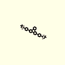 CC1(C)CSC(c2ccc(-c3ccc4c5ccc(-c6ccc(C7=NC(C)(C)CS7)cc6)cc5c5ccccc5c4c3)cc2)=N1